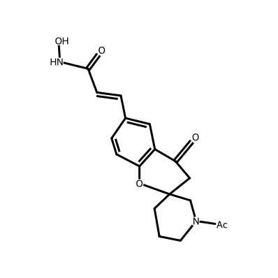 CC(=O)N1CCCC2(CC(=O)c3cc(/C=C/C(=O)NO)ccc3O2)C1